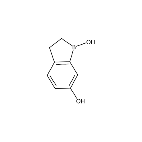 OB1CCc2ccc(O)cc21